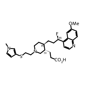 COc1ccc2nccc([C@H](F)CC[C@@H]3CCN(CCSc4ccn(C)c4)C[C@H]3CCC(=O)O)c2c1